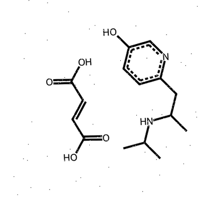 CC(C)NC(C)Cc1ccc(O)cn1.O=C(O)/C=C/C(=O)O